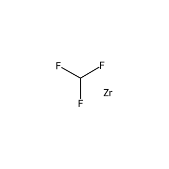 FC(F)F.[Zr]